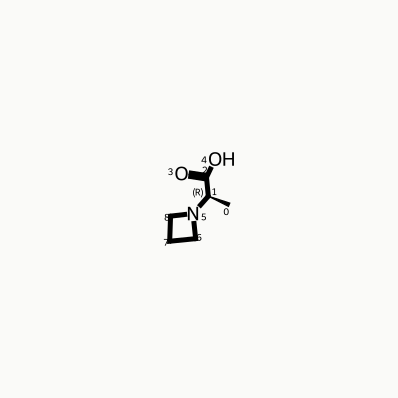 C[C@H](C(=O)O)N1CCC1